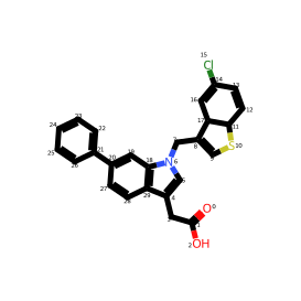 O=C(O)Cc1cn(CC2=CSC3C=CC(Cl)=CC23)c2cc(-c3ccccc3)ccc12